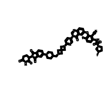 N#Cc1c(NS(=O)(=O)N2CC[C@@H](F)C2)ccc(F)c1Oc1ccc2ncn(-c3ccc(N4CC5(CN(CC6CCN(c7ccc8c(c7)C(=O)N(C7CCC(=O)NC7=O)C8=O)CC6)C5)C4)nc3)c(=O)c2c1